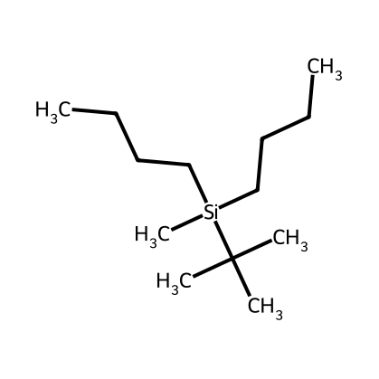 CCCC[Si](C)(CCCC)C(C)(C)C